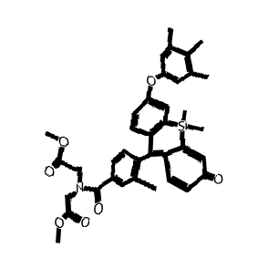 COC(=O)CN(CC(=O)OC)C(=O)c1ccc(C2=C3C=CC(=O)C=C3[Si](C)(C)c3cc(Oc4cc(C)c(C)c(C)c4)ccc32)c(C)c1